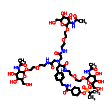 CC(=O)NC1C(OCCOCCNC(=O)CN(CC(=O)NCCOCCOC2OC(CO)C(O)C(O)C2NC(C)=O)C(Cc2ccc(CNC(=O)[C@H]3CC[C@@H](OP(=O)(O)C(C)C)CC3)cc2)C(=O)NCCOCCOC2OC(CO)C(O)C(O)C2NC(C)=O)OC(CO)C(O)C1O